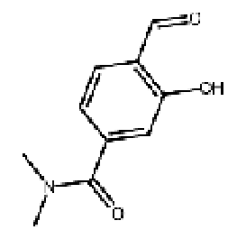 CN(C)C(=O)c1ccc(C=O)c(O)c1